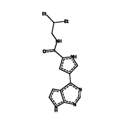 CCC(CC)CNC(=O)c1cc(-c2ncnc3[nH]ccc23)c[nH]1